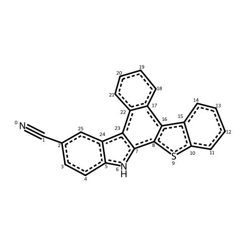 N#Cc1ccc2[nH]c3c4sc5ccccc5c4c4ccccc4c3c2c1